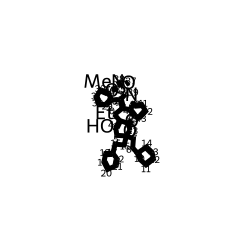 CCC(C1=C(O)CC(CCc2ccccc2)(CCc2ccccc2)OC1=O)c1c(-c2ccccc2)c(S(=O)(=O)NC)nc2ccccc12